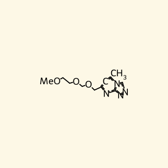 COCCOCOCc1cc(C)n2cnnc2n1